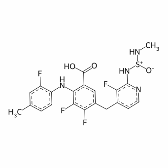 CN[S+]([O-])Nc1nccc(Cc2cc(C(=O)O)c(Nc3ccc(C)cc3F)c(F)c2F)c1F